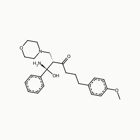 COc1ccc(CCCC(=O)[C@@H](CN2CCOCC2)[C@](N)(O)c2ccccc2)cc1